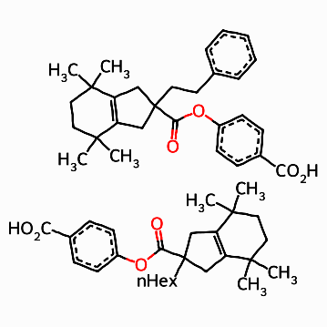 CC1(C)CCC(C)(C)C2=C1CC(CCc1ccccc1)(C(=O)Oc1ccc(C(=O)O)cc1)C2.CCCCCCC1(C(=O)Oc2ccc(C(=O)O)cc2)CC2=C(C1)C(C)(C)CCC2(C)C